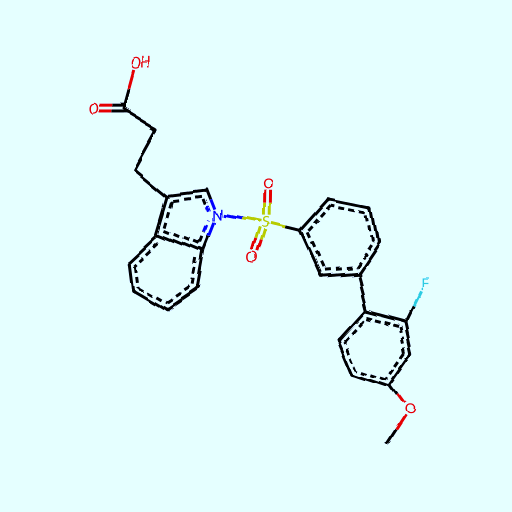 COc1ccc(-c2cccc(S(=O)(=O)n3cc(CCC(=O)O)c4ccccc43)c2)c(F)c1